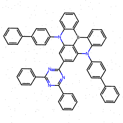 c1ccc(-c2ccc(N3c4ccccc4B4c5ccccc5N(c5ccc(-c6ccccc6)cc5)c5cc(-c6nc(-c7ccccc7)nc(-c7ccccc7)n6)cc3c54)cc2)cc1